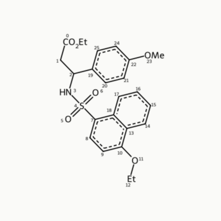 CCOC(=O)CC(NS(=O)(=O)c1ccc(OCC)c2ccccc12)c1ccc(OC)cc1